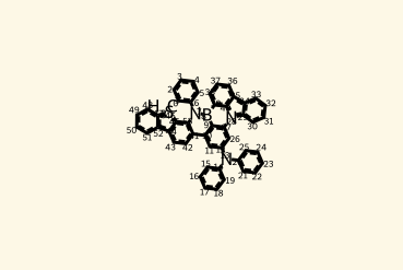 Cc1ccccc1N1B2c3c(cc(N(c4ccccc4)c4ccccc4)cc3-n3c4ccccc4c4cccc2c43)-c2ccc3c(sc4ccccc43)c21